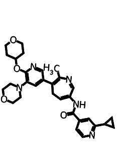 CC1=C(c2cnc(OC3CCOCC3)c(N3CCOCC3)c2)CC=C(NC(=O)c2ccnc(C3CC3)c2)C=N1